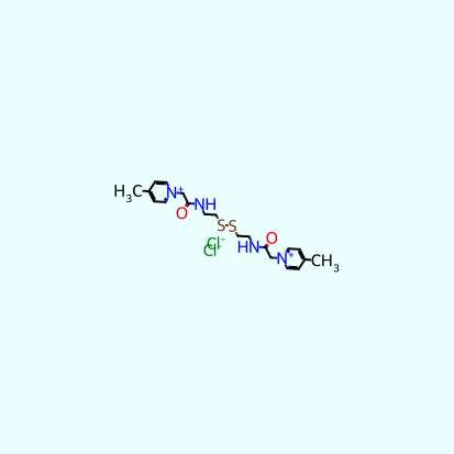 Cc1cc[n+](CC(=O)NCCSSCCNC(=O)C[n+]2ccc(C)cc2)cc1.[Cl-].[Cl-]